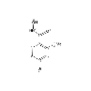 COc1cc(Br)ccc1C(=O)NO